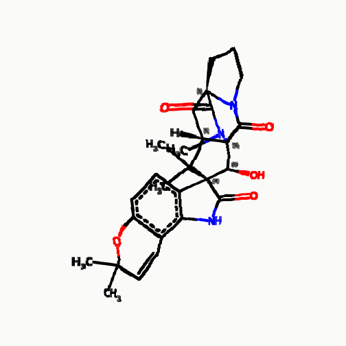 CN1C(=O)[C@@]23CCCN2C(=O)[C@@]12[C@@H](O)[C@@]1(C(=O)Nc4c1ccc1c4C=CC(C)(C)O1)C(C)(C)[C@@H]2C3